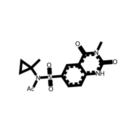 CC(=O)N(C1(C)CC1)S(=O)(=O)c1ccc2[nH]c(=O)n(C)c(=O)c2c1